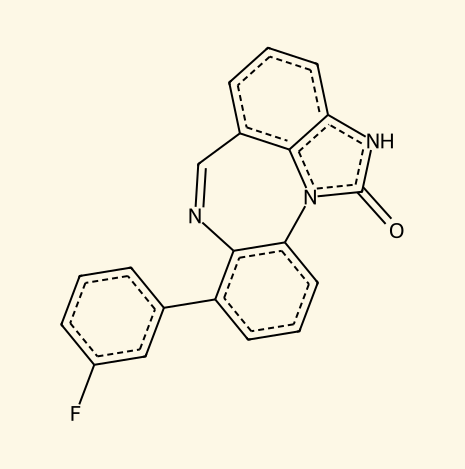 O=c1[nH]c2cccc3c2n1-c1cccc(-c2cccc(F)c2)c1N=C3